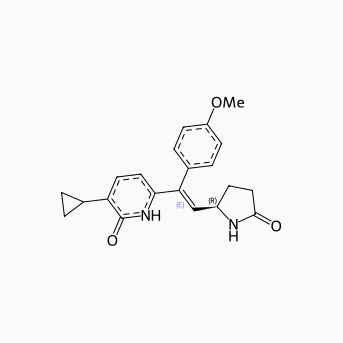 COc1ccc(/C(=C\[C@H]2CCC(=O)N2)c2ccc(C3CC3)c(=O)[nH]2)cc1